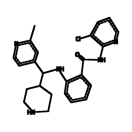 Cc1cc(C(Nc2ccccc2C(=O)Nc2ncccc2Cl)C2CCNCC2)ccn1